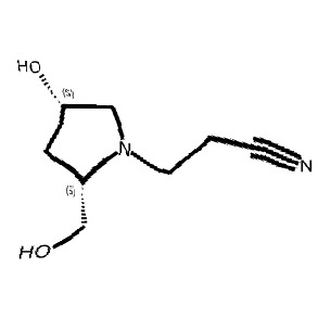 N#CCCN1C[C@@H](O)C[C@H]1CO